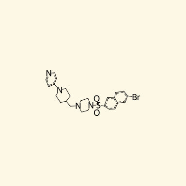 O=S(=O)(c1ccc2cc(Br)ccc2c1)N1CCN(CC2CCN(c3ccncc3)CC2)CC1